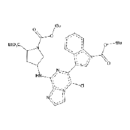 CCOC(=O)C1CC(Nc2nc(-c3cn(C(=O)OC(C)(C)C)c4ccccc34)c(Cl)n3ccnc23)CN1C(=O)OC(C)(C)C